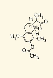 CC(=O)Oc1cc(C)c2c(c1C)[C@@H]1OC(=O)C(C)[C@@H]1CC2